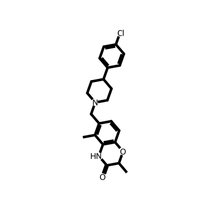 Cc1c(CN2CCC(c3ccc(Cl)cc3)CC2)ccc2c1NC(=O)C(C)O2